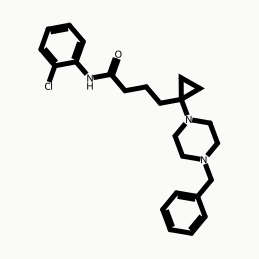 O=C(CCCC1(N2CCN(Cc3ccccc3)CC2)CC1)Nc1ccccc1Cl